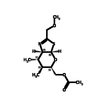 COCC1=N[C@@H]2[C@@H](C)[C@H](C)[C@@H](COC(C)=O)O[C@@H]2S1